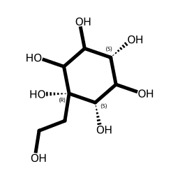 OCC[C@@]1(O)C(O)C(O)[C@H](O)C(O)[C@@H]1O